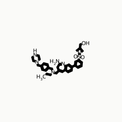 CCCN(CC1=Cc2ccc(-c3cccc(S(=O)(=O)N4CC(CO)C4)c3)cc2N=C(N)C1)Cc1ccc(CN2CCNCC2)cc1